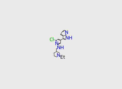 CCN1CCCC(CNc2cc(-c3c[nH]c4ncccc34)cc(Cl)n2)C1